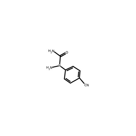 N#Cc1ccc(N(N)C(N)=O)cc1